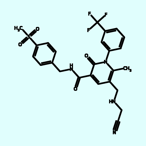 Cc1c(CNCC#N)cc(C(=O)NCc2ccc(S(C)(=O)=O)cc2)c(=O)n1-c1cccc(C(F)(F)F)c1